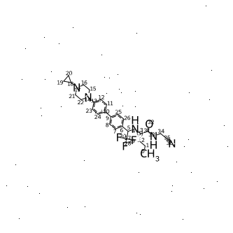 CCC[C@H](NC(c1ccc(-c2ccc(N3CCN(C4CC4)CC3)cc2)cc1)C(F)(F)F)C(=O)NCC#N